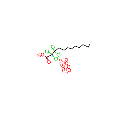 CCCCCCCCCC(Cl)(Cl)C(Cl)(Cl)C(=O)O.O.O.O.O